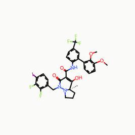 COc1cccc(-c2cc(C(F)(F)F)ccc2NC(=O)C2=C(O)[C@@]3(C)CCCN3N(Cc3ccc(I)c(F)c3F)C2=O)c1OC